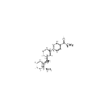 COC(=O)c1ccc(N2CCC[C@H](N[C@@H]3CCCC[C@H]3N)C2)cc1